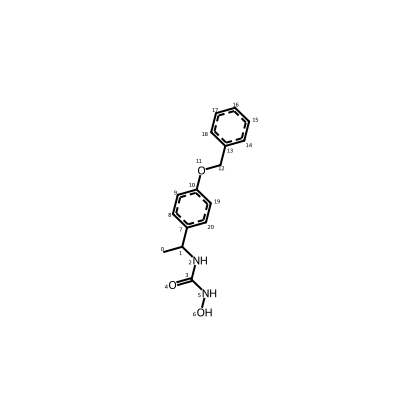 CC(NC(=O)NO)c1ccc(OCc2ccccc2)cc1